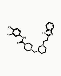 O=C(Nc1ccc(Cl)c(Cl)c1)N1CCN(C[C@@H]2CCCN(CCc3nc4ccccc4[nH]3)C2)CC1